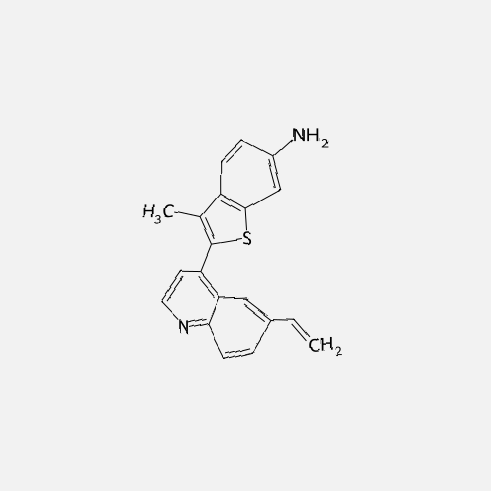 C=Cc1ccc2nccc(-c3sc4cc(N)ccc4c3C)c2c1